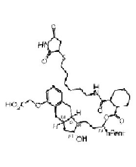 CCCCC[C@@H](CC[C@@H]1[C@H]2Cc3cccc(OCC(=O)O)c3C[C@H]2C[C@H]1O)OC(=O)C1CCCCC1C(=O)NCCCCCCSC1CC(=O)NC1=O